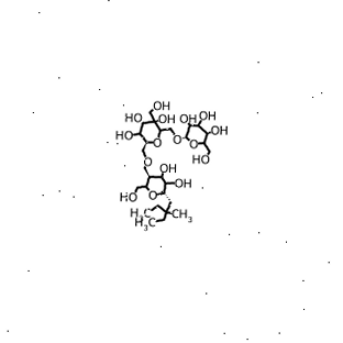 CCC(C)(CC)C[C@@H]1OC(CO)[C@@H](COC[C@@H]2OC(CO[C@H]3OC(CO)[C@H](O)C(O)C3O)[C@@](O)(CO)C(O)C2O)C(O)C1O